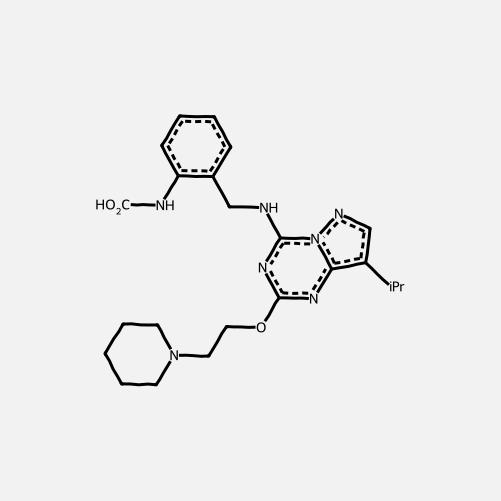 CC(C)c1cnn2c(NCc3ccccc3NC(=O)O)nc(OCCN3CCCCC3)nc12